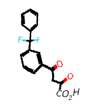 O=C(O)C(=O)CC(=O)c1cccc(C(F)(F)c2ccccc2)c1